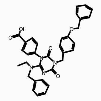 CCN(Cc1ccccc1)c1nc(=O)n(Cc2ccc(OCc3ccccc3)cc2)c(=O)n1-c1ccc(C(=O)O)cc1